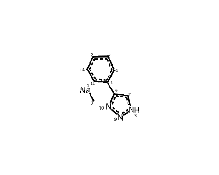 [CH3][Na].c1ccc(-c2c[nH]nn2)cc1